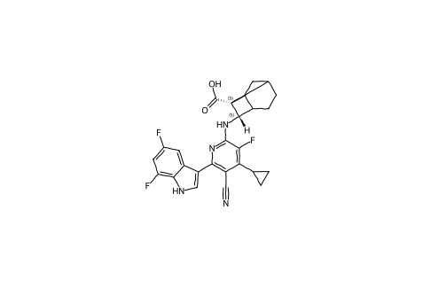 N#Cc1c(-c2c[nH]c3c(F)cc(F)cc23)nc(N[C@H]2C3CCC4CC3[C@@]42C(=O)O)c(F)c1C1CC1